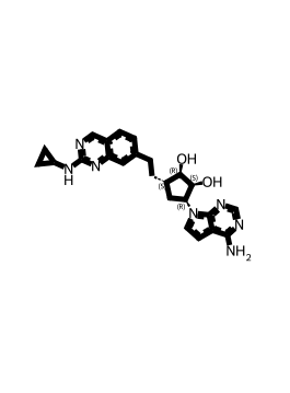 Nc1ncnc2c1ccn2[C@@H]1C[C@H](CCc2ccc3cnc(NC4CC4)nc3c2)[C@@H](O)[C@H]1O